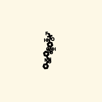 CC(C)(CF)C(=O)Nc1ccc(NS(=O)(=O)c2cccc(-c3noc(-c4ccccc4)n3)c2)cc1